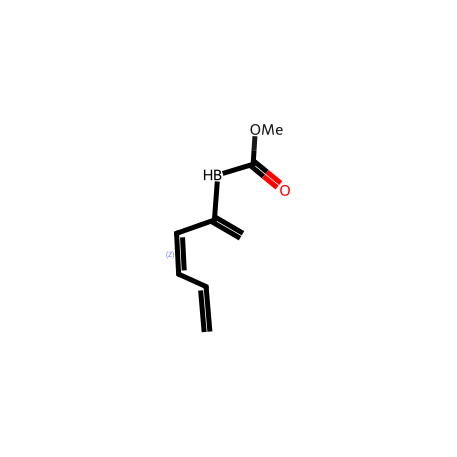 C=C/C=C\C(=C)BC(=O)OC